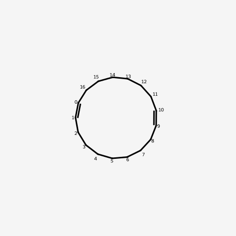 C1=CCCCCCCCC=CCCCCCC1